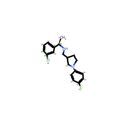 C[C@@H](NCC1CCN(c2ccc(F)cc2)C1)c1cccc(Cl)c1